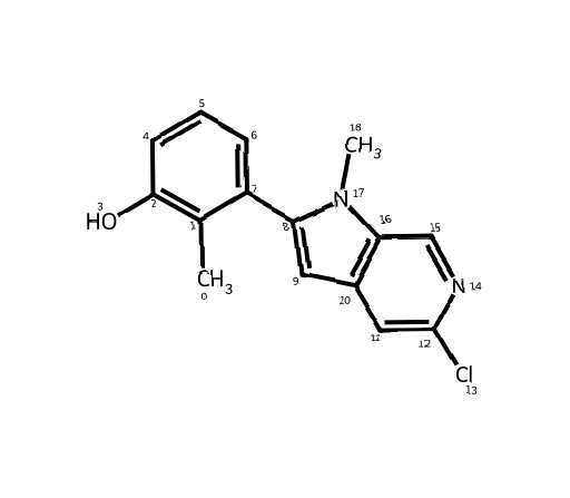 Cc1c(O)cccc1-c1cc2cc(Cl)ncc2n1C